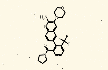 Nc1nc2ccc(-c3c(C(=O)N4CCCC4)cccc3C(F)(F)F)cc2cc1N1CCOCC1